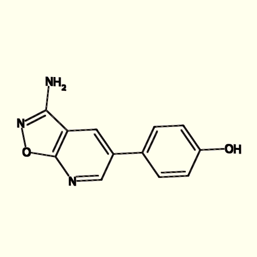 Nc1noc2ncc(-c3ccc(O)cc3)cc12